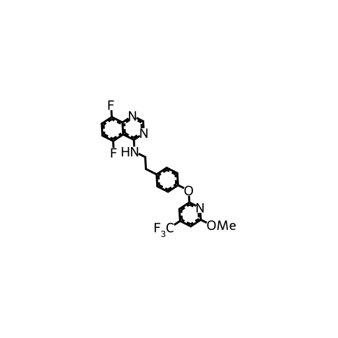 COc1cc(C(F)(F)F)cc(Oc2ccc(CCNc3ncnc4c(F)ccc(F)c34)cc2)n1